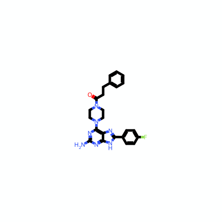 Nc1nc(N2CCN(C(=O)CCc3ccccc3)CC2)c2nc(-c3ccc(F)cc3)[nH]c2n1